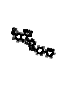 COC(C(=O)Nc1nnc(N[C@@H]2CC=C(c3cccnn3)CC2)s1)c1cc(OC(F)(F)F)ccc1F